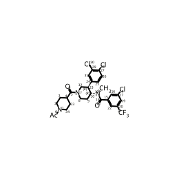 CC(=O)N1CCC(C(=O)N2CC[C@@H](N(C)C(=O)c3cc(Cl)cc(C(F)(F)F)c3)[C@H](c3ccc(Cl)c(Cl)c3)C2)CC1